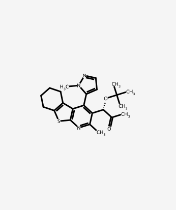 CC(=O)[C@@H](OC(C)(C)C)c1c(C)nc2sc3c(c2c1-c1ccnn1C)CCCC3